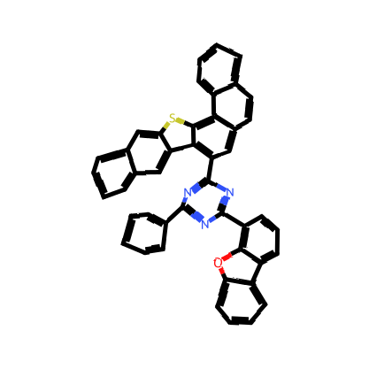 c1ccc(-c2nc(-c3cccc4c3oc3ccccc34)nc(-c3cc4ccc5ccccc5c4c4sc5cc6ccccc6cc5c34)n2)cc1